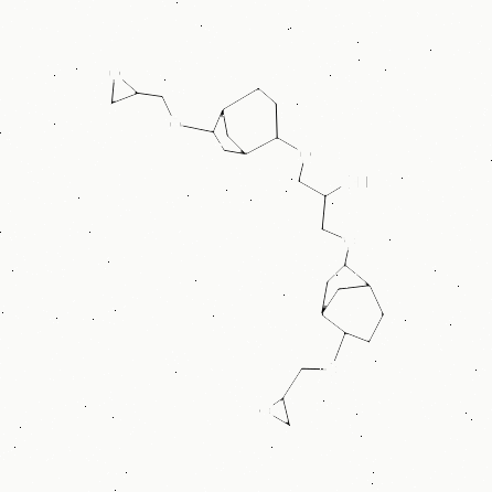 OC(COC1CCC2CC1CC2OCC1CO1)COC1CC2CC1CCC2OCC1CO1